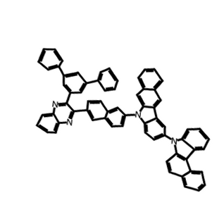 c1ccc(-c2cc(-c3ccccc3)cc(-c3nc4ccccc4nc3-c3ccc4cc(-n5c6ccc(-n7c8ccccc8c8c9ccccc9ccc87)cc6c6cc7ccccc7cc65)ccc4c3)c2)cc1